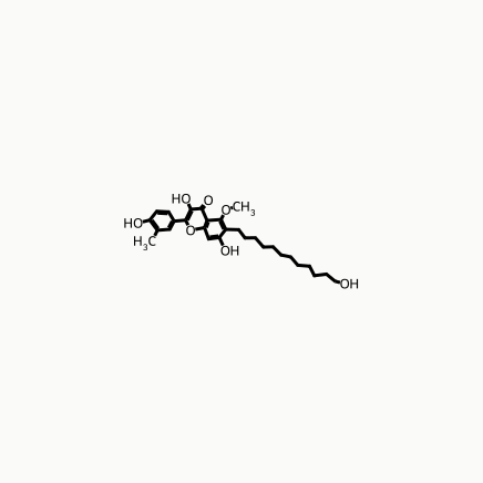 COc1c(CCCCCCCCCCCCO)c(O)cc2oc(-c3ccc(O)c(C)c3)c(O)c(=O)c12